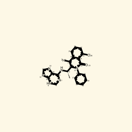 [2H]c1c([C@H](C)Nc2nc[nH]c3ncnc2-3)n(-c2ccccc2)c(=O)c2c(Cl)cccc12